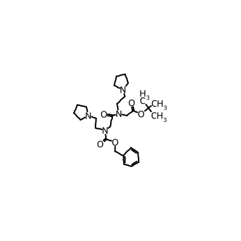 CC(C)(C)OC(=O)CN(CCN1CCCC1)C(=O)CN(CCN1CCCC1)C(=O)OCc1ccccc1